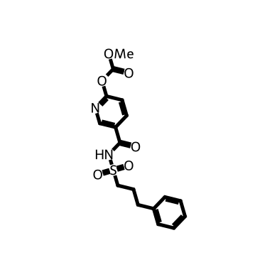 COC(=O)Oc1ccc(C(=O)NS(=O)(=O)CCCc2ccccc2)cn1